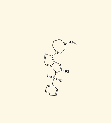 CN1CCCN(c2cccc3c2ccn3S(=O)(=O)c2ccccc2)CC1.Cl